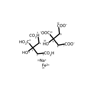 O=C(O)CC(O)(CC(=O)O)C(=O)O.O=C([O-])CC(O)(CC(=O)[O-])C(=O)[O-].[Fe+2].[Na+]